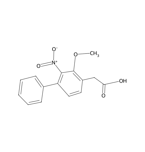 COc1c(CC(=O)O)ccc(-c2ccccc2)c1[N+](=O)[O-]